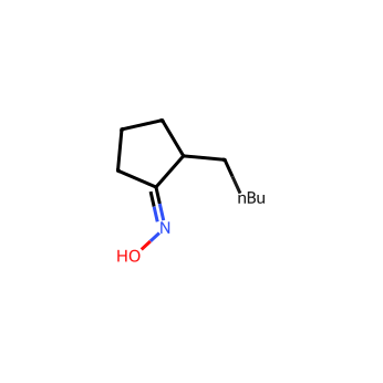 CCCCCC1CCCC1=NO